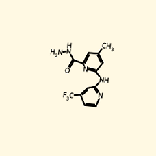 Cc1cc(Nc2cc(C(F)(F)F)ccn2)nc(C(=O)NN)c1